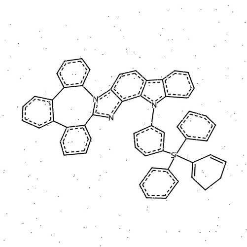 C1=CC([Si](c2ccccc2)(c2ccccc2)c2cccc(-n3c4ccccc4c4ccc5c(nc6n5-c5ccccc5-c5ccccc5-c5ccccc5-6)c43)c2)=CCC1